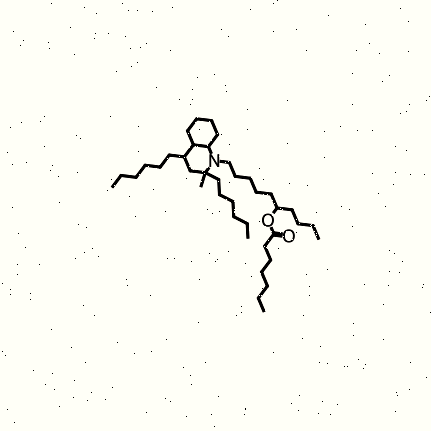 CCCCCCC(=O)OC(CCCC)CCCCCN1C2CCCCC2C(CCCCCC)CC1(C)CCCCCC